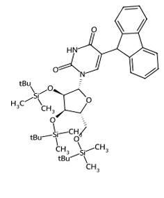 CC(C)(C)[Si](C)(C)OC[C@H]1O[C@@H](n2cc(C3c4ccccc4-c4ccccc43)c(=O)[nH]c2=O)[C@H](O[Si](C)(C)C(C)(C)C)[C@@H]1O[Si](C)(C)C(C)(C)C